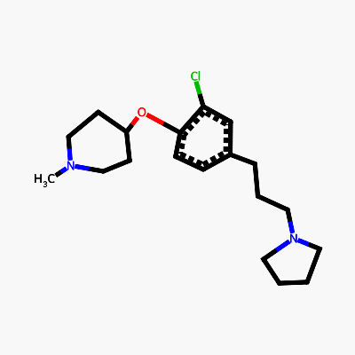 CN1CCC(Oc2ccc(CCCN3CCCC3)cc2Cl)CC1